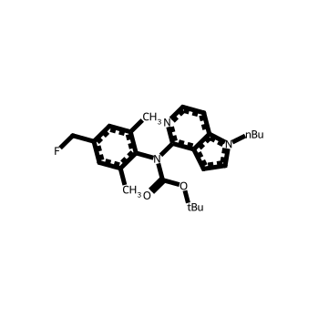 CCCCn1ccc2c(N(C(=O)OC(C)(C)C)c3c(C)cc(CF)cc3C)nccc21